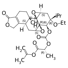 C=C(C)OC(=O)[C@@H](C)OC(=O)O[C@H]1[C@]23O[C@H]2C[C@H]2C4=C(CC[C@]2(C)[C@@]32O[C@H]2C[C@@]1(OCC)C(C)C)C(=O)OC4